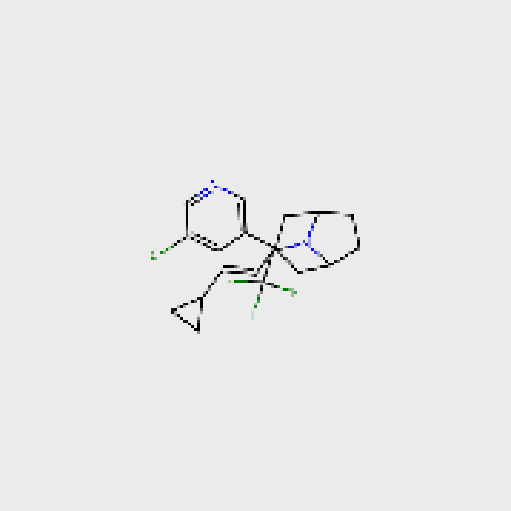 FC(F)(F)CN1C2CCC1CC(C=CC1CC1)(c1cncc(Cl)c1)C2